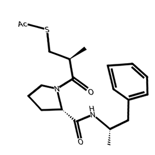 CC(=O)SC[C@@H](C)C(=O)N1CCC[C@H]1C(=O)N[C@@H](C)Cc1ccccc1